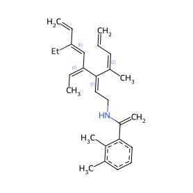 C=C\C=C(C)/C(=C\CNC(=C)c1cccc(C)c1C)C(=C\C)/C=C(/C=C)CC